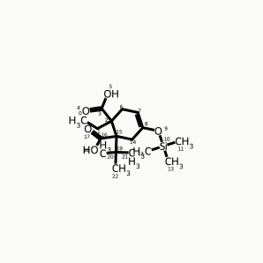 CCC1(C(=O)O)CC=C(O[Si](C)(C)C)CC1(C(=O)O)C(C)(C)C